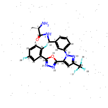 C[C@H](N)C(=O)NCc1cccc(-n2nc(C(F)(F)F)cc2-c2nnc(-c3cc(F)ccc3F)o2)c1